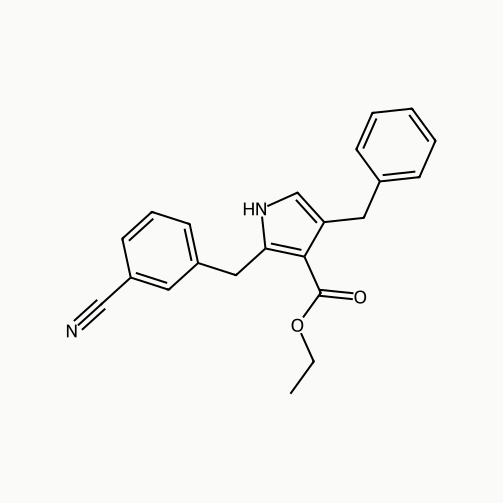 CCOC(=O)c1c(Cc2ccccc2)c[nH]c1Cc1cccc(C#N)c1